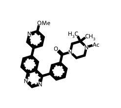 COc1ccc(-c2ccc3ncnc(-c4cccc(C(=O)N5CCN(C(C)=O)C(C)(C)C5)c4)c3c2)cn1